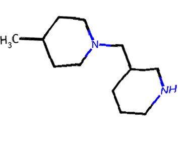 CC1CCN(CC2CCCNC2)CC1